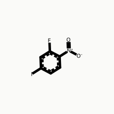 O=[N+]([O-])c1ccc(I)cc1F